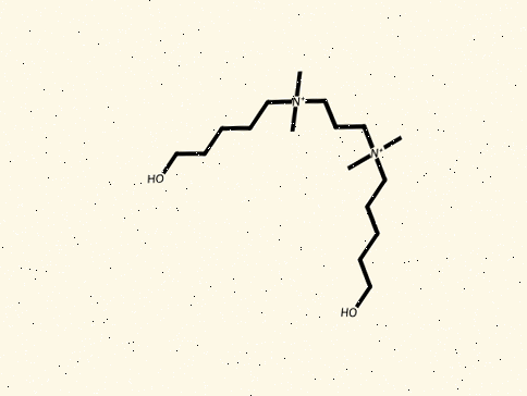 C[N+](C)(CCCCCO)CCC[N+](C)(C)CCCCCO